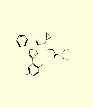 CCN(CC)C(=O)CN[C@H](C(=O)N1CC(c2cc(F)ccc2F)=C[C@H]1c1ccccc1)C1CC1